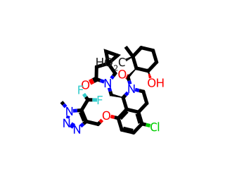 Cn1nnc(COc2ccc(Cl)c3c2[C@@H](CN2CC4(CC4)CC2=O)N(C(=O)[C@@H]2[C@H](O)CCC[C@]2(C)C(=O)O)CC3)c1C(F)F